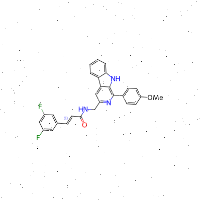 COc1ccc(-c2nc(CNC(=O)/C=C/c3cc(F)cc(F)c3)cc3c2[nH]c2ccccc23)cc1